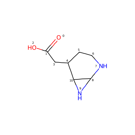 O=C(O)CC1CCNC2NC12